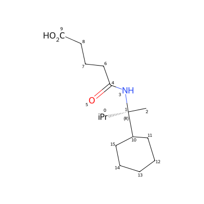 CC(C)[C@@](C)(NC(=O)CCCC(=O)O)C1CCCCC1